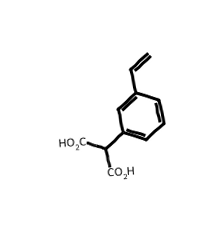 C=Cc1cccc(C(C(=O)O)C(=O)O)c1